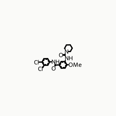 COc1ccc(C(=O)Nc2ccc(Cl)c(Cl)c2)cc1NC(=O)N1CCCCC1